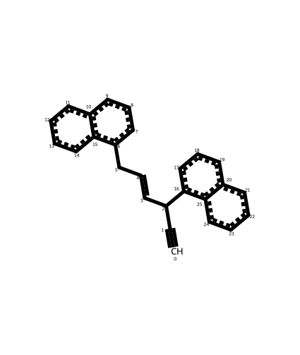 C#CC(C=CCc1cccc2ccccc12)c1cccc2ccccc12